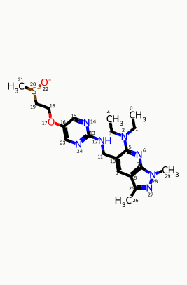 CCN(CC)c1nc2c(cc1CNc1ncc(OCC[S+](C)[O-])cn1)c(C)nn2C